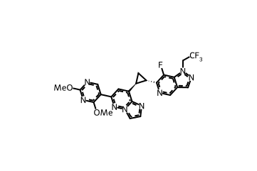 COc1ncc(-c2cc([C@H]3C[C@@H]3c3ncc4cnn(CC(F)(F)F)c4c3F)c3nccn3n2)c(OC)n1